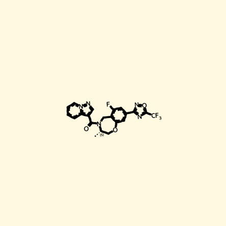 C[C@H]1COc2cc(-c3noc(C(F)(F)F)n3)cc(F)c2CN1C(=O)c1cnn2ccccc12